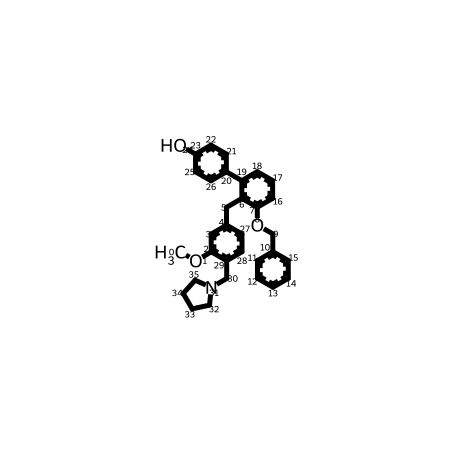 COc1cc(Cc2c(OCc3ccccc3)cccc2-c2ccc(O)cc2)ccc1CN1CCCC1